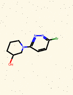 OC1CCCN(c2ccc(Br)nn2)C1